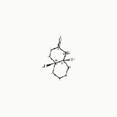 O=C1CC[C@H]2CCCC[C@H]2N1